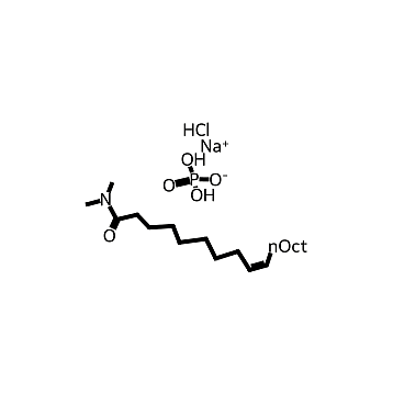 CCCCCCCC/C=C\CCCCCCCC(=O)N(C)C.Cl.O=P([O-])(O)O.[Na+]